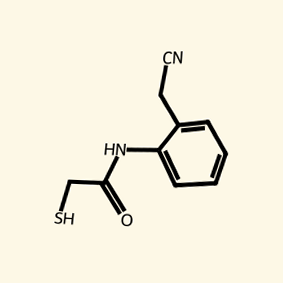 N#CCc1ccccc1NC(=O)CS